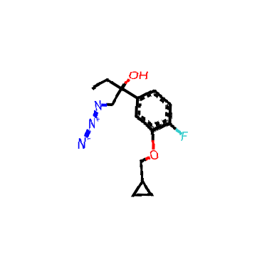 CCC(O)(CN=[N+]=[N-])c1ccc(F)c(OCC2CC2)c1